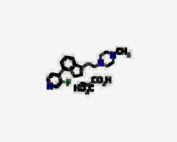 CN1CCN(CCC2=CCc3c2cccc3-c2ccncc2F)CC1.O=C(O)C=CC(=O)O